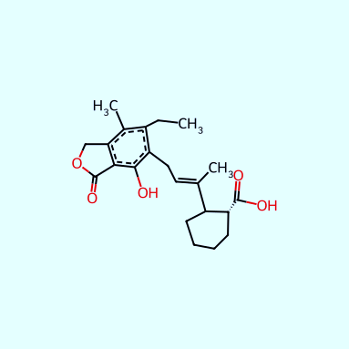 CCc1c(C)c2c(c(O)c1C/C=C(\C)C1CCCC[C@H]1C(=O)O)C(=O)OC2